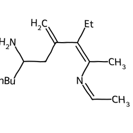 C=C(CC(N)CCCC)/C(CC)=C(C)\N=C/C